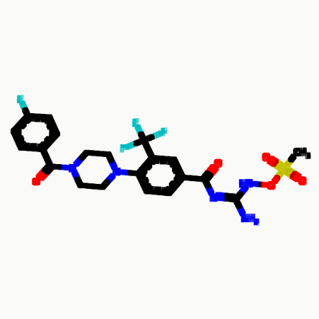 CS(=O)(=O)ONC(N)=NC(=O)c1ccc(N2CCN(C(=O)c3ccc(F)cc3)CC2)c(C(F)(F)F)c1